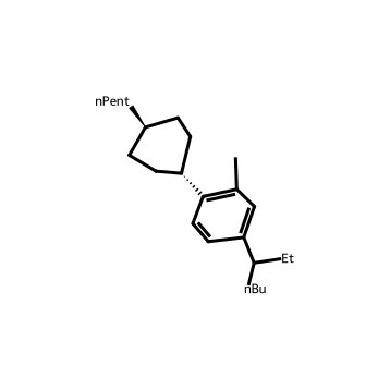 C[CH]CCC(CC)c1ccc([C@H]2CC[C@H](CCCCC)CC2)c(C)c1